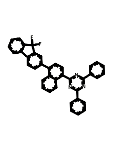 FC1(F)c2ccccc2-c2ccc(-c3ccc(-c4nc(-c5ccccc5)nc(-c5ccccc5)n4)c4ccccc34)cc21